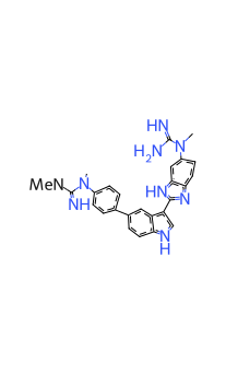 CNC(=N)N(C)c1ccc(-c2ccc3[nH]cc(-c4nc5ccc(N(C)C(=N)N)cc5[nH]4)c3c2)cc1